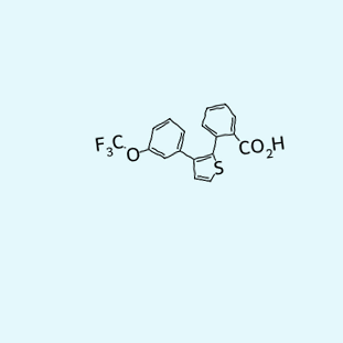 O=C(O)c1ccccc1-c1sccc1-c1cccc(OC(F)(F)F)c1